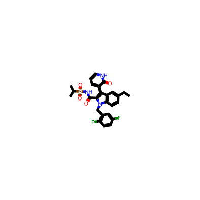 CCc1ccc2c(c1)c(-c1ccc[nH]c1=O)c(C(=O)NS(=O)(=O)C(C)C)n2Cc1cc(F)ccc1F